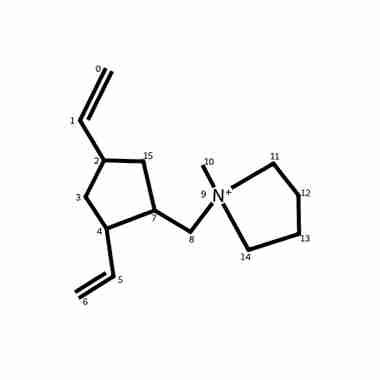 C=CC1CC(C=C)C(C[N+]2(C)CCCC2)C1